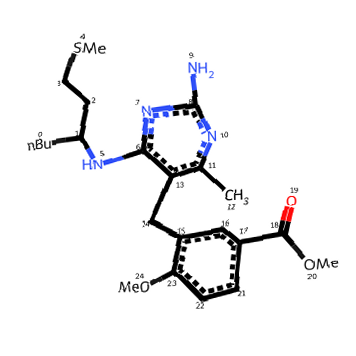 CCCCC(CCSC)Nc1nc(N)nc(C)c1Cc1cc(C(=O)OC)ccc1OC